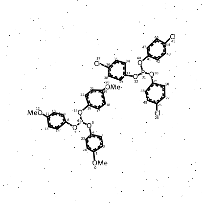 COc1ccc(OP(Oc2ccc(OC)cc2)Oc2ccc(OC)cc2)cc1.Clc1ccc(OP(Oc2ccc(Cl)cc2)Oc2ccc(Cl)cc2)cc1